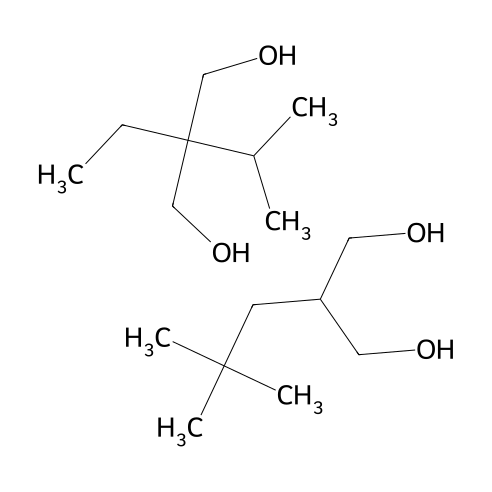 CC(C)(C)CC(CO)CO.CCC(CO)(CO)C(C)C